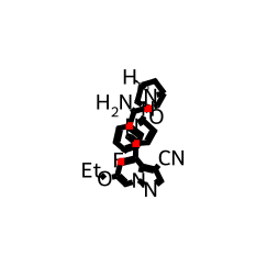 CCOc1cc(-c2ccc(N3CC4C[C@H](C3)N4C(=O)C(N)c3ccc(F)cc3)nc2)c2c(C#N)cnn2c1